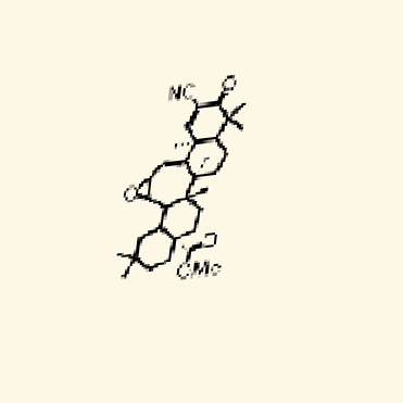 COC(=O)[C@]12CCC(C)(C)CC1C1C3OC3C=C3[C@@]4(C)C=C(C#N)C(=O)C(C)(C)C4CC[C@@]3(C)[C@]1(C)CC2